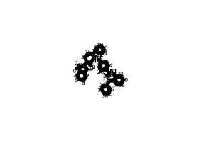 CC1(C)c2ccccc2-c2sc3c(c21)C=CC1c2ccccc2N(c2ccc(-c4nc(-c5ccccc5)c5ccccc5n4)cc2)C31